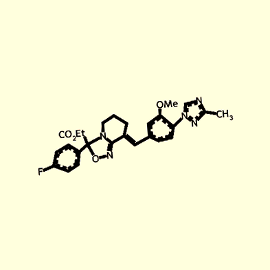 CCOC(=O)C1(c2ccc(F)cc2)ON=C2/C(=C/c3ccc(-n4cnc(C)n4)c(OC)c3)CCCN21